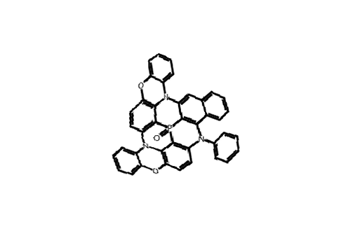 O=P12c3c4ccc5c3N(c3ccccc3O5)c3ccc5c(c31)N(c1ccccc1O5)c1cc3ccccc3c(c12)N4c1ccccc1